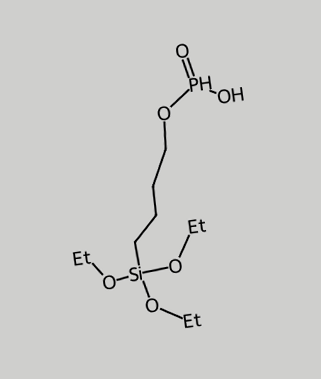 CCO[Si](CCCCO[PH](=O)O)(OCC)OCC